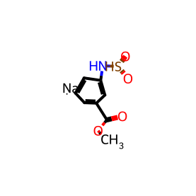 COC(=O)c1cccc(N[SH](=O)=O)c1.[Na]